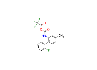 Cc1ccc(-c2ccccc2F)c(NC(=O)OC(=O)C(F)(F)F)c1